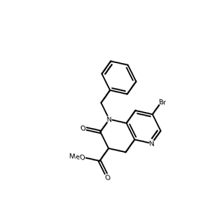 COC(=O)C1Cc2ncc(Br)cc2N(Cc2ccccc2)C1=O